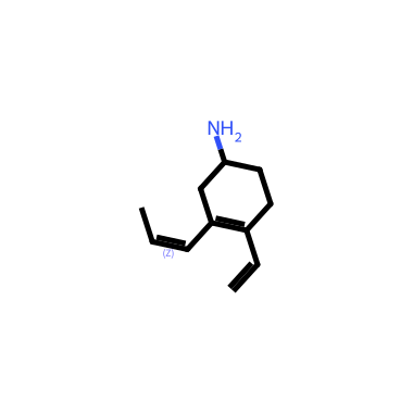 C=CC1=C(/C=C\C)CC(N)CC1